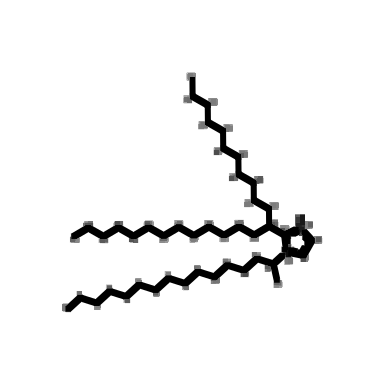 CCCCCCCCCCCCCCC(C)[n+]1cc[nH]c1C(CCCCCCCCCCC)CCCCCCCCCCCCC